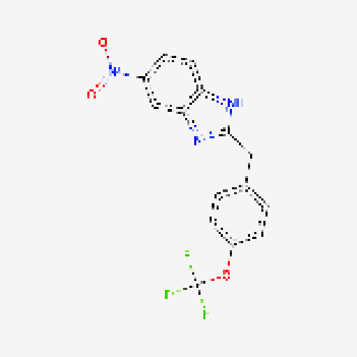 O=[N+]([O-])c1ccc2[nH]c(Cc3ccc(OC(F)(F)F)cc3)nc2c1